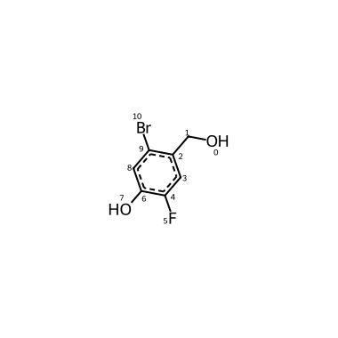 OCc1cc(F)c(O)cc1Br